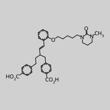 CN1CCCN(CCCCCOc2ccccc2/C=C/C(CCc2ccc(C(=O)O)cc2)Cc2ccc(C(=O)O)cc2)C1=O